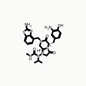 CNC(=O)N(C(C)C)N1CC(=O)N2[C@@H](Cc3ccc(O)c(N)c3)C(=O)N(Cc3cccc4sc(N)nc34)C[C@@H]21